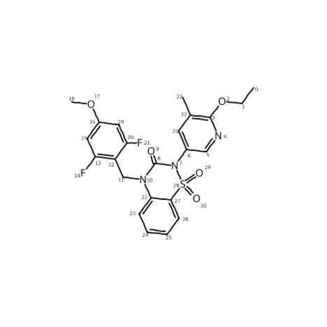 CCOc1ncc(N2C(=O)N(Cc3c(F)cc(OC)cc3F)c3ccccc3S2(=O)=O)cc1C